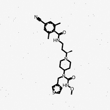 CONC(=O)N(Cc1ccsc1)C1CCN([C@H](C)CCNC(=O)c2c(C)cc(C#N)cc2C)CC1